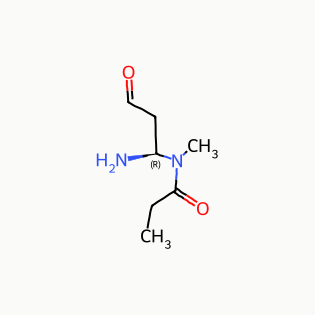 CCC(=O)N(C)[C@@H](N)CC=O